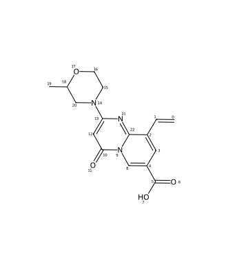 C=Cc1cc(C(=O)O)cn2c(=O)cc(N3CCOC(C)C3)nc12